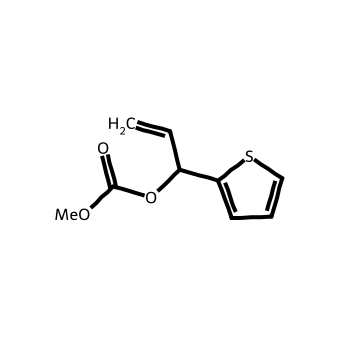 C=CC(OC(=O)OC)c1cccs1